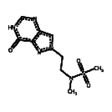 CN(CCn1cc2nc[nH]c(=O)c2n1)S(C)(=O)=O